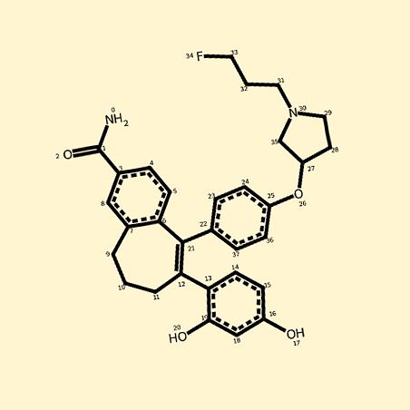 NC(=O)c1ccc2c(c1)CCCC(c1ccc(O)cc1O)=C2c1ccc(OC2CCN(CCCF)C2)cc1